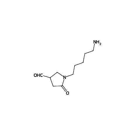 NCCCCCN1CC(C=O)CC1=O